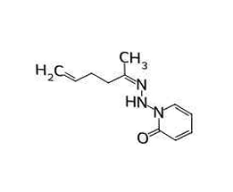 C=CCC/C(C)=N\Nn1ccccc1=O